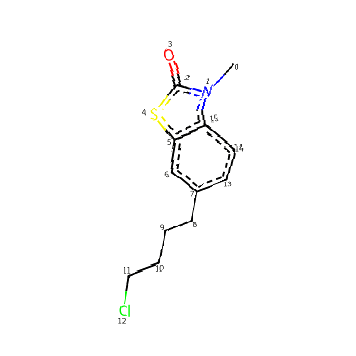 Cn1c(=O)sc2cc(CCCCCl)ccc21